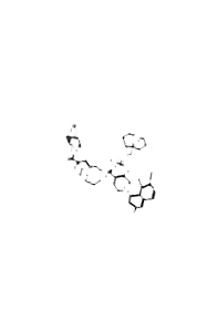 CCc1c(F)ccc2cc(O)cc(N3CCc4c(nc(OC[C@@]56CCCN5C[C@H](F)C6)nc4N4CCCn5nc(C(=O)N6CC7CC6CN7C)cc5C4)C3)c12